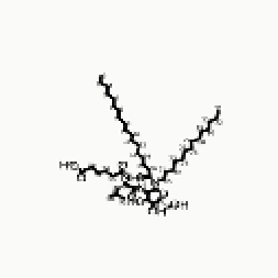 CCCCCCCCCCCCCCCCCC(=O)N(CCCCCCCCCCCCCC)[C@@H]1O[C@H](CO)[C@@H](O)[C@H](O)[C@H]1NC(=O)[C@H](CC(C)C)NC(=O)CCCCC(=O)O